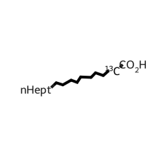 CCCCCCCCCCCCCCCC[13CH2]C(=O)O